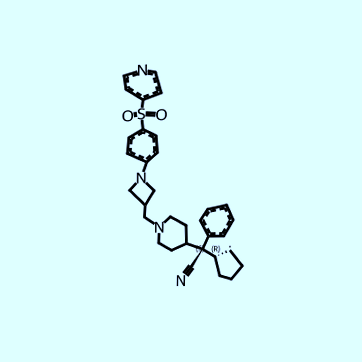 N#C[C@](c1ccccc1)(C1CCN(CC2CN(c3ccc(S(=O)(=O)c4ccncc4)cc3)C2)CC1)[C@@H]1[CH]CCC1